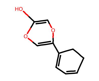 OC1=COC(C2=CC=CCC2)=CO1